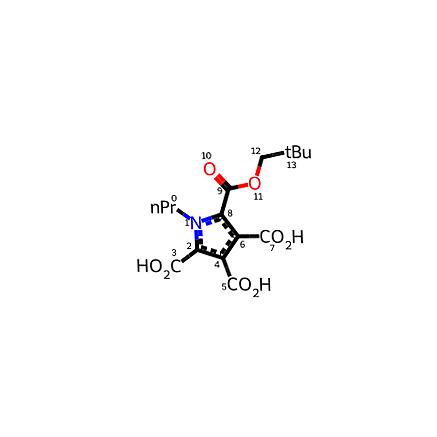 CCCn1c(C(=O)O)c(C(=O)O)c(C(=O)O)c1C(=O)OCC(C)(C)C